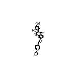 CC1(C)c2cc(OCC3CCN(C4COC4)CC3)ccc2C(=O)c2c1[nH]c1cc(C#N)ccc21